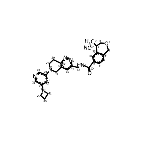 C[C@@]1(C#N)COCc2ccc(C(=O)NCc3cc4c(nn3)CCN(c3cncc(N5CCC5)n3)C4)cc21